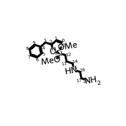 C=CC(Cc1ccccc1)O[Si](CCCNCCN)(OC)OC